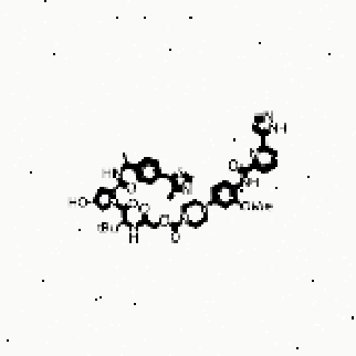 COc1cc(N2CCN(C(=O)OCC(=O)N[C@H](C(=O)N3C[C@H](O)C[C@H]3C(=O)N[C@@H](C)c3ccc(-c4scnc4C)cc3)C(C)(C)C)CC2)ccc1NC(=O)c1cccc(-c2ccn[nH]2)n1